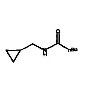 CCCCC(=O)NCC1CC1